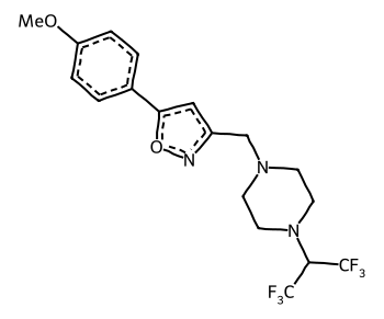 COc1ccc(-c2cc(CN3CCN(C(C(F)(F)F)C(F)(F)F)CC3)no2)cc1